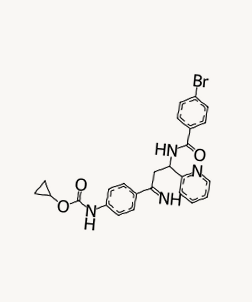 N=C(CC(NC(=O)c1ccc(Br)cc1)c1ccccn1)c1ccc(NC(=O)OC2CC2)cc1